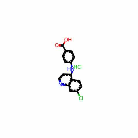 Cl.O=C(O)c1ccc(Nc2ccnc3cc(Cl)ccc23)cc1